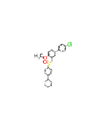 COc1ccc(-c2ccc(Cl)cc2)cc1C[S+]([O-])c1ccc(-c2[c]cccc2)cc1